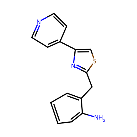 Nc1ccccc1Cc1nc(-c2ccncc2)cs1